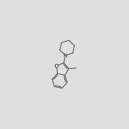 Cc1c(N2CCCCC2)oc2ccccc12